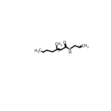 C=CCNC(=O)/C=C(\C)CCCC